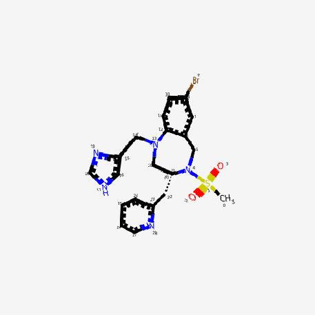 CS(=O)(=O)N1Cc2cc(Br)ccc2N(Cc2c[nH]cn2)C[C@H]1Cc1ccccn1